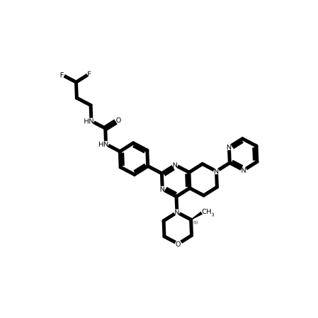 C[C@H]1COCCN1c1nc(-c2ccc(NC(=O)NCCC(F)F)cc2)nc2c1CCN(c1ncccn1)C2